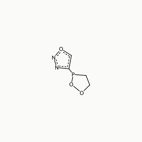 c1onnc1P1CCOO1